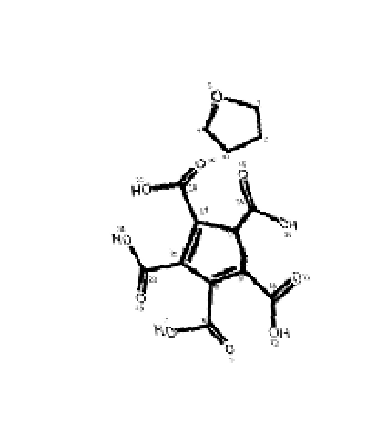 C1CCOC1.O=C(O)C1=C(C(=O)O)C(C(=O)O)C(C(=O)O)=C1C(=O)O